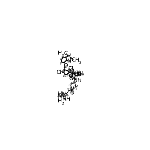 Cc1cc(C)c2cccc(OCc3c(Cl)ccc(S(=O)(=O)N4CCC[C@H]4C(=O)NC4CCN(C(=O)CCNC(=N)N)CC4)c3Cl)c2n1.Cl.Cl